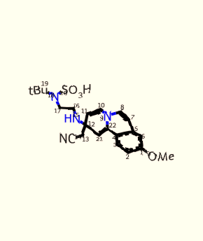 COc1ccc2c(c1)C=CN1C=CC(CC#N)(NCCN(C(C)(C)C)S(=O)(=O)O)C=C21